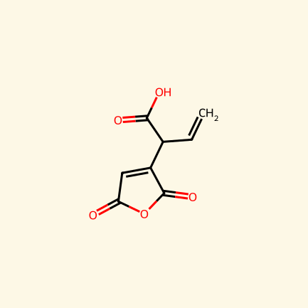 C=CC(C(=O)O)C1=CC(=O)OC1=O